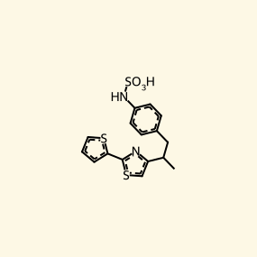 CC(Cc1ccc(NS(=O)(=O)O)cc1)c1csc(-c2cccs2)n1